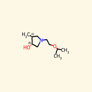 CC(C)OCCN1C[C@H](C)[C@@H](O)C1